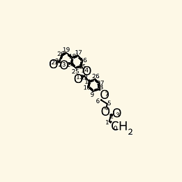 C=CC(=O)OCCOc1ccc(C(=O)Oc2ccc3ccc(=O)oc3c2)cc1